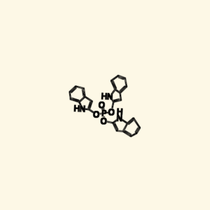 O=P(Oc1cc2ccccc2[nH]1)(Oc1cc2ccccc2[nH]1)Oc1cc2ccccc2[nH]1